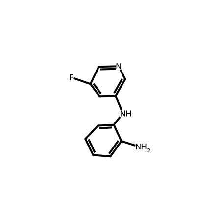 Nc1ccccc1Nc1cncc(F)c1